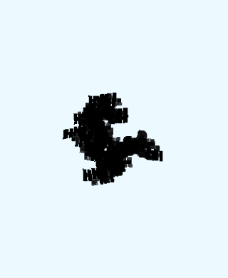 C[C@H](NC(=O)[C@H](CCC(N)=O)NC(=O)[C@H](CO)NC(=O)CNC(=O)CNC(=O)[C@H](CCCNC(=N)N)NC(=O)[C@H](CO)NC(=O)CNC(=O)[C@H](CCC(=O)O)NC(=O)[C@H](C)NC(=O)[C@H](Cc1ccc(O)cc1)NC(=O)[C@@H](N)Cc1ccccc1)C(=O)N[C@@H](CO)C(=O)N[C@@H](CO)C(=O)N[C@@H](CCCNC(=N)N)C(=O)N[C@@H](CO)C(=O)N[C@@H](CO)C(=O)N[C@@H](CO)C(=O)N[C@@H](CCCNC(=N)N)C(=O)N[C@@H](CO)C(=O)O